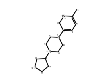 CC1=CC=C(N2CCN(C3CCOC3)CC2)CN1